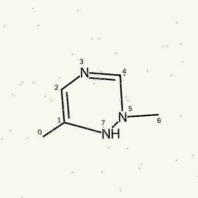 CC1=CN=[C]N(C)N1